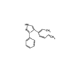 C=C/C=C\C(=C/C)c1c[nH]nc1-c1ccccc1